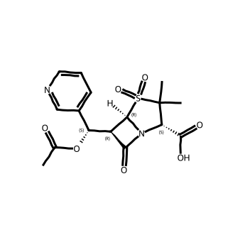 CC(=O)O[C@H](c1cccnc1)[C@@H]1C(=O)N2[C@@H](C(=O)O)C(C)(C)S(=O)(=O)[C@H]12